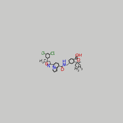 CC1(C)OB(O)c2ccc(CNC(=O)c3ccc(C4=NOC(C)(c5cc(Cl)cc(Cl)c5)C4)n4cccc34)cc21